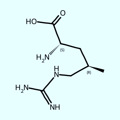 C[C@@H](CNC(=N)N)C[C@H](N)C(=O)O